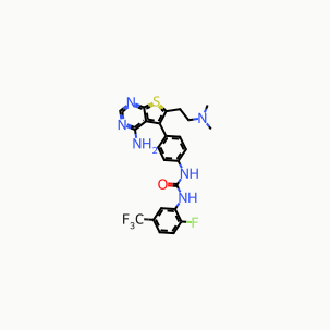 CN(C)CCc1sc2ncnc(N)c2c1-c1ccc(NC(=O)Nc2cc(C(F)(F)F)ccc2F)cc1